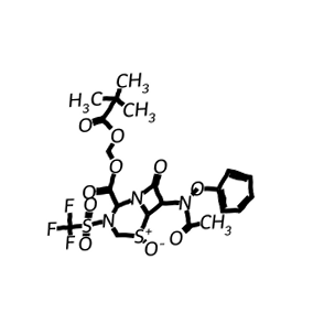 CC(=O)N(Oc1ccccc1)C1C(=O)N2C(C(=O)OCOC(=O)C(C)(C)C)N(S(=O)(=O)C(F)(F)F)C[S+]([O-])C12